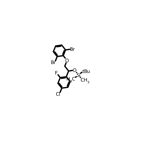 CC(C)(C)[Si](C)(C)OC(COc1c(Br)cccc1Br)c1ccc(Cl)cc1F